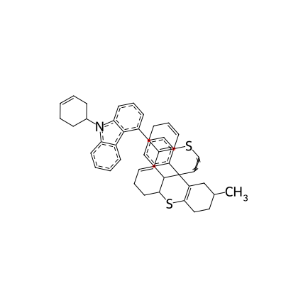 CC1CCC2=C(C1)C1(C3=CCCC=C3Sc3cc(-c4cccc5c4c4ccccc4n5C4CC=CCC4)ccc31)C1C(C3=CC=CCC3)=CCCC1S2